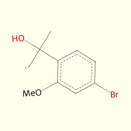 [CH2]C(C)(O)c1ccc(Br)cc1OC